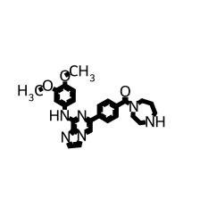 COc1ccc(Nc2nc(-c3ccc(C(=O)N4CCCNCC4)cc3)cn3ccnc23)cc1OC